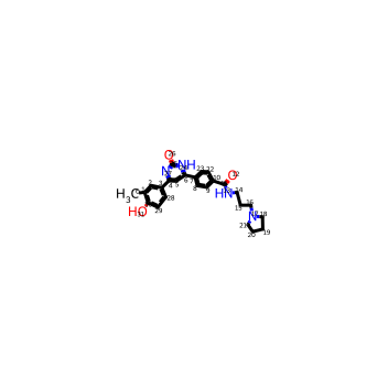 Cc1cc(-c2cc(-c3ccc(C(=O)NCCCN4CCCC4)cc3)[nH]c(=O)n2)ccc1O